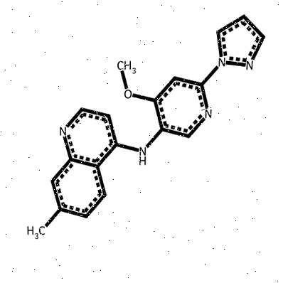 COc1cc(-n2cccn2)ncc1Nc1ccnc2cc(C)ccc12